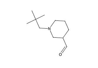 CC(C)(C)CN1CCCC(C=O)C1